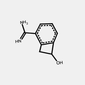 N=C(N)c1cccc2c1CC2O